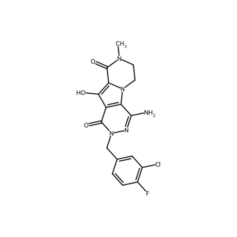 CN1CCn2c(c(O)c3c(=O)n(Cc4ccc(F)c(Cl)c4)nc(N)c32)C1=O